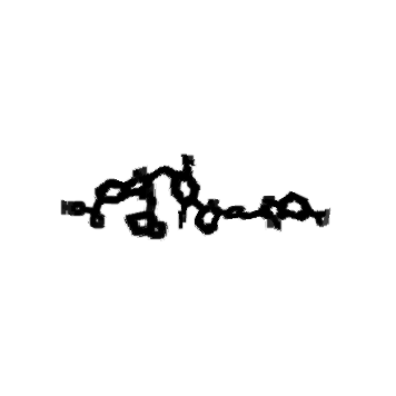 O=C(O)c1ccc2nc(Cc3cc(F)c(-c4cccc(OCc5nc6cc(Cl)ccc6s5)n4)cc3F)n(C[C@@H]3CCO3)c2c1